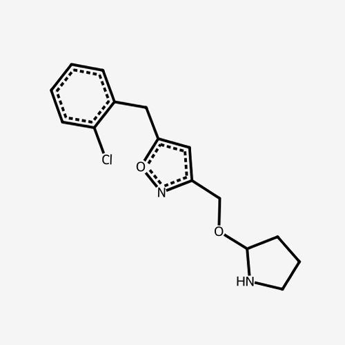 Clc1ccccc1Cc1cc(COC2CCCN2)no1